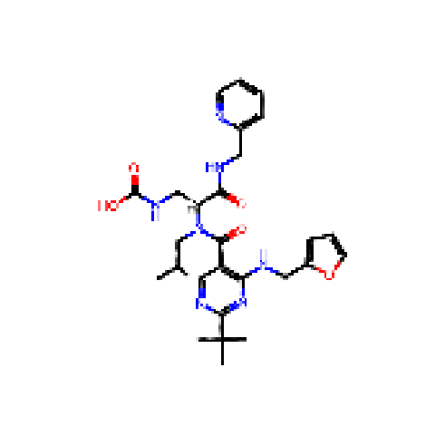 CC(C)CN(C(=O)c1cnc(C(C)(C)C)nc1NCc1ccco1)[C@@H](CNC(=O)O)C(=O)NCc1ccccn1